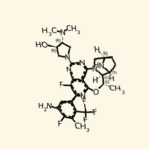 Cc1c(F)c(N)cc(-c2nc3c4c(nc(N5C[C@@H](O)[C@H](N(C)C)C5)nc4c2F)N2C[C@H]4CC[C@H](N4)[C@H]2[C@H](C)O3)c1C(F)(F)F